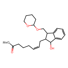 COC(=O)CCC/C=C\CC1C(O)c2ccccc2C1COC1CCCCO1